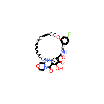 O=C1NCc2ccc(F)cc2OCC/C=C\CCCCCCCN2C3COCCN3C(=O)c3c(O)c(=O)c1cn32